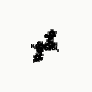 C[C@@H]1CN(CC(O)N2CC(C)(C)c3nnc(Cc4ccc(F)cc4F)cc32)[C@@H](CN2Cc3ncccc3C2=O)CN1